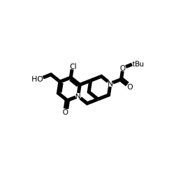 CC(C)(C)OC(=O)N1CC2CC(C1)c1c(Cl)c(CO)cc(=O)n1C2